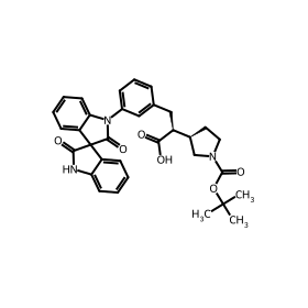 CC(C)(C)OC(=O)N1CC[C@H]([C@H](Cc2cccc(N3C(=O)C4(C(=O)Nc5ccccc54)c4ccccc43)c2)C(=O)O)C1